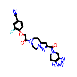 N#Cc1ccc(OCC(=O)N2CCc3cc(C(=O)N4CCc5[nH]nnc5C4)nn3CC2)c(F)c1